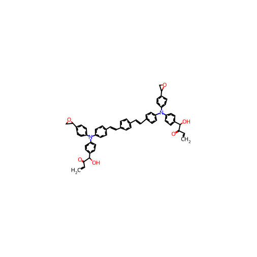 C=CC(=O)C(O)c1ccc(N(c2ccc(C=Cc3ccc(C=Cc4ccc(N(c5ccc(C6CO6)cc5)c5ccc(C(O)C(=O)C=C)cc5)cc4)cc3)cc2)c2ccc(C3CO3)cc2)cc1